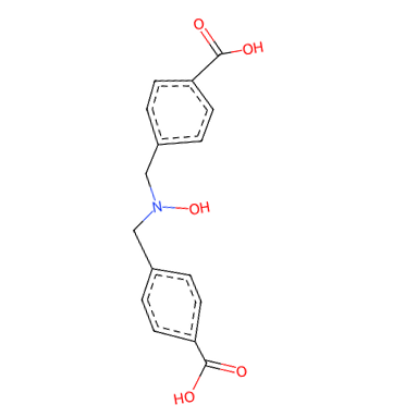 O=C(O)c1ccc(CN(O)Cc2ccc(C(=O)O)cc2)cc1